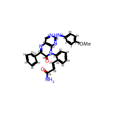 COc1ccc(Nc2ncc3nc(-c4ccccc4)c(=O)n(-c4ccccc4C=CC(N)=O)c3n2)cc1